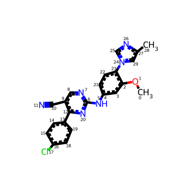 COc1cc(Nc2ncc(C#N)c(-c3ccc(Cl)cc3)n2)ccc1-n1cnc(C)c1